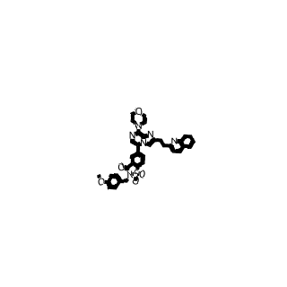 COc1ccc(CN2C(=O)c3cc(-c4cnc(N5CCOCC5)c5nc(CCc6ccc7ccccc7n6)cn45)ccc3S2(=O)=O)cc1